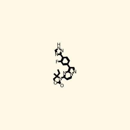 CCC1(C)COC(=O)N1c1ccn2ncc(-c3ccc(-c4nc[nH]n4)c(F)c3)c2n1